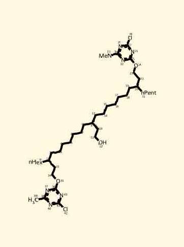 CCCCCCC(CCCCCCCC(CCO)CCCCCCCC(CCCCC)CCOc1nc(Cl)nc(NC)n1)CCOc1nc(C)nc(Cl)n1